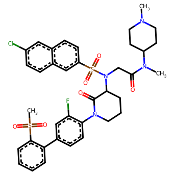 CN1CCC(N(C)C(=O)CN(C2CCCN(c3ccc(-c4ccccc4S(C)(=O)=O)cc3F)C2=O)S(=O)(=O)c2ccc3cc(Cl)ccc3c2)CC1